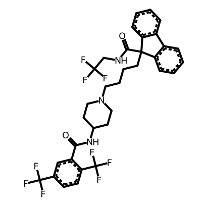 O=C(NC1CCN(CCCCC2(C(=O)NCC(F)(F)F)c3ccccc3-c3ccccc32)CC1)c1cc(C(F)(F)F)ccc1C(F)(F)F